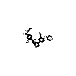 CCCN(C)C(=O)c1ccc(-c2cc3nccc(-c4ccc(OC5CCOCC5)c(C#N)c4)c3o2)c(OC)c1